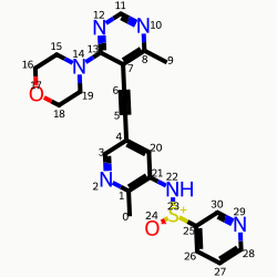 Cc1ncc(C#Cc2c(C)ncnc2N2CCOCC2)cc1N[S+]([O-])c1cccnc1